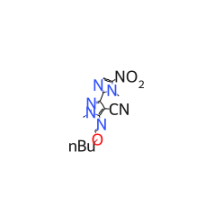 CCCCOC=Nc1c(C#N)c(-c2ncc([N+](=O)[O-])n2C)nn1C